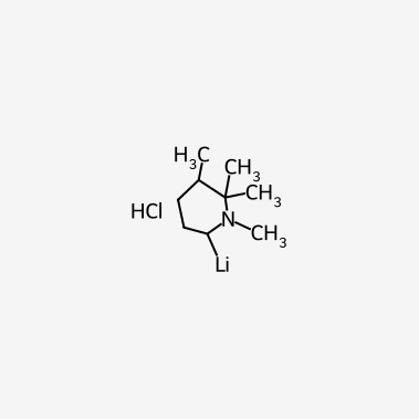 Cl.[Li][CH]1CCC(C)C(C)(C)N1C